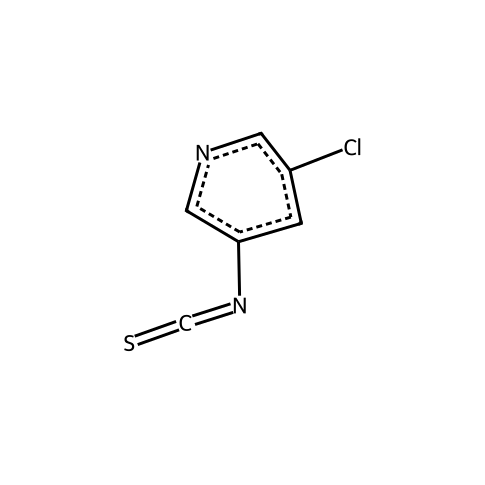 S=C=Nc1cncc(Cl)c1